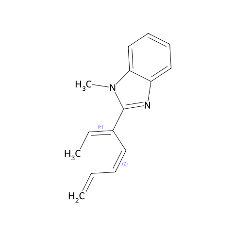 C=C/C=C\C(=C/C)c1nc2ccccc2n1C